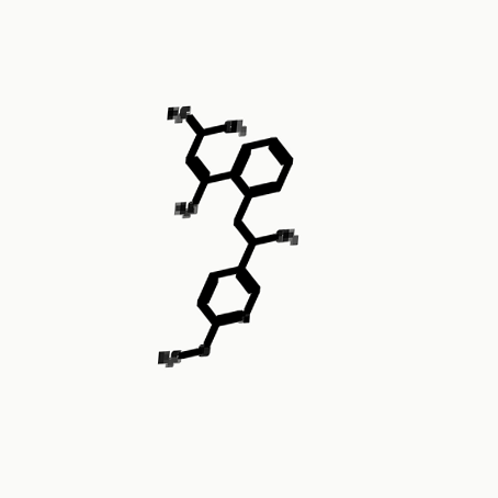 COc1ccc(C(C)Cc2ccccc2/C(C)=C\C(C)C)cn1